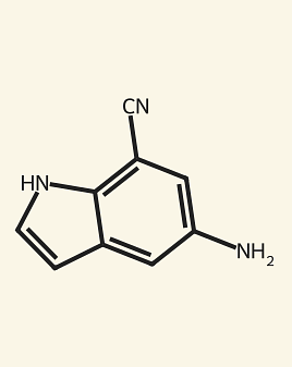 N#Cc1cc(N)cc2cc[nH]c12